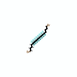 FC(F)(CCCCBr)C(F)(F)C(F)(F)C(F)(F)C(F)(F)C(F)(F)C(F)(F)C(F)(F)CCCCBr